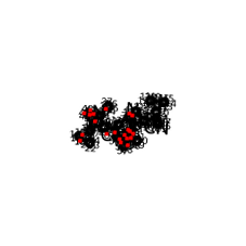 N#Cc1cc(-n2c3ccccc3c3cc(-c4ccccc4-c4ccccc4)ccc32)c(-c2cc(-c3ccccc3)nc(-c3ccccc3)c2)cc1-n1c2ccc(-c3ccccc3-c3ccccc3)cc2c2cc(-c3cccc4c3c3cc(-c5ccccc5-c5ccccc5)ccc3n4-c3cc(C#N)c(-n4c5ccccc5c5cc(-c6ccccc6-c6ccccc6)ccc54)cc3-c3ccncc3)ccc21